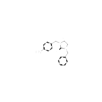 Cl.Nc1ccc(CN2CCN(Cc3ccccc3)C2=O)cc1